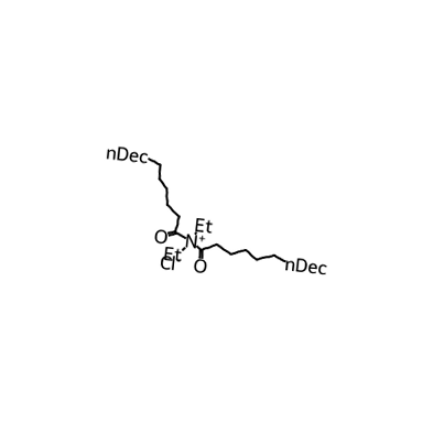 CCCCCCCCCCCCCCCC(=O)[N+](CC)(CC)C(=O)CCCCCCCCCCCCCCC.[Cl-]